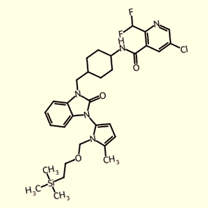 Cc1ccc(-n2c(=O)n(CC3CCC(NC(=O)c4cc(Cl)cnc4C(F)F)CC3)c3ccccc32)n1COCC[Si](C)(C)C